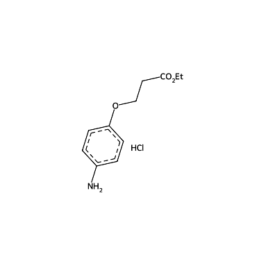 CCOC(=O)CCOc1ccc(N)cc1.Cl